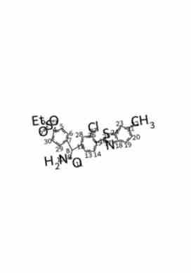 CCS(=O)(=O)c1ccc(C(C(N)=O)c2ccc(-c3nc4ccc(C)cc4s3)c(Cl)c2)cc1